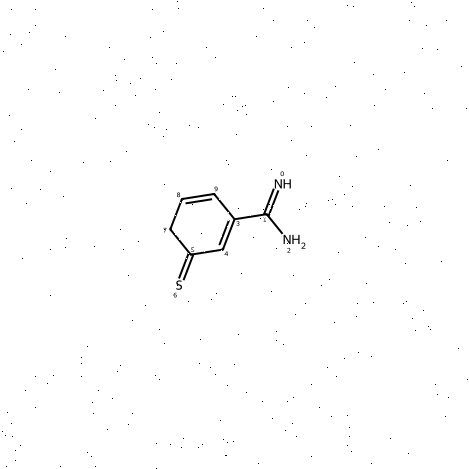 N=C(N)C1=CC(=S)CC=C1